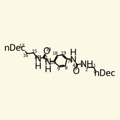 CCCCCCCCCCCCNC(=O)Nc1ccc(NC(=O)NCCCCCCCCCCCC)cc1